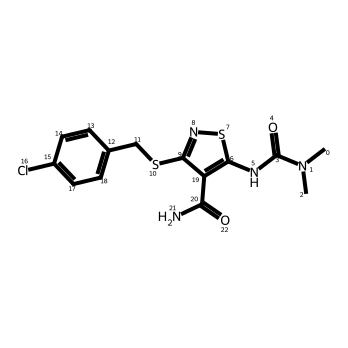 CN(C)C(=O)Nc1snc(SCc2ccc(Cl)cc2)c1C(N)=O